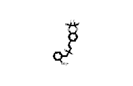 O=C(O)c1ccccc1CC(F)(F)/C=C/c1ccc2c(c1)OC(F)(F)C(F)(F)O2